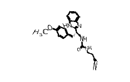 COc1ccc(C[C@@H](NC(=O)NCCC#N)c2nc3ccccc3[nH]2)cc1